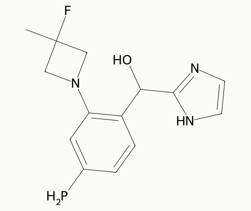 CC1(F)CN(c2cc(P)ccc2C(O)c2ncc[nH]2)C1